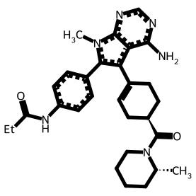 CCC(=O)Nc1ccc(-c2c(C3=CC[C@H](C(=O)N4CCCC[C@H]4C)CC3)c3c(N)ncnc3n2C)cc1